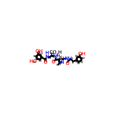 Cc1nc(NC(=O)CCc2cccc(O)c2)sc1C(=O)N[C@@H](CNC(=O)c1cc(O)cc(O)c1)C(=O)O